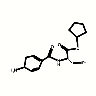 CC(C)C[C@H](NC(=O)C1=CCC(N)C=C1)C(=O)OC1CCCC1